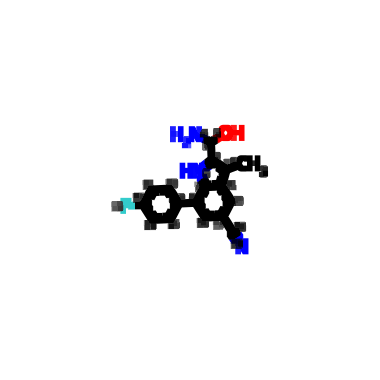 Cc1c(C(N)O)[nH]c2c(-c3ccc(F)cc3)cc(C#N)cc12